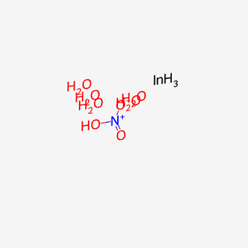 O.O.O.O.O.O=[N+]([O-])O.[InH3]